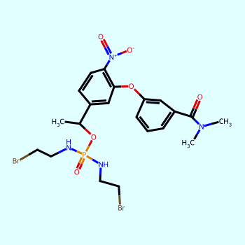 CC(OP(=O)(NCCBr)NCCBr)c1ccc([N+](=O)[O-])c(Oc2cccc(C(=O)N(C)C)c2)c1